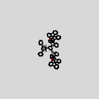 c1ccc(-c2cc(-c3ccccc3)nc(-c3cc(-n4c5ccccc5c5cc(-c6cccc7c6C6(c8ccccc8-c8ccccc86)c6ccccc6-7)ccc54)cc(-n4c5ccccc5c5cc(-c6cccc7c6C6(c8ccccc8-c8ccccc86)c6ccccc6-7)ccc54)c3)n2)cc1